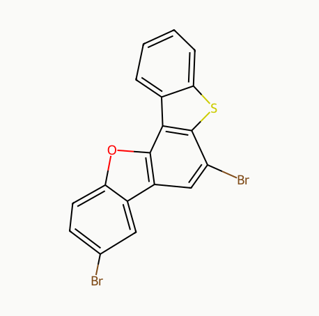 Brc1ccc2oc3c(cc(Br)c4sc5ccccc5c43)c2c1